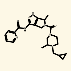 CC1CN(C(=O)N2Cc3c(NC(=O)c4ccccn4)n[nH]c3C2C)CCN1CC1CC1